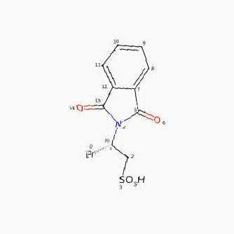 CC(C)[C@@H](CS(=O)(=O)O)N1C(=O)c2ccccc2C1=O